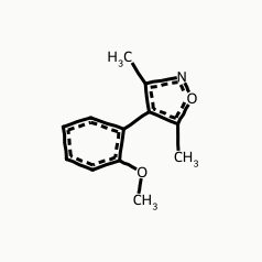 COc1ccccc1-c1c(C)noc1C